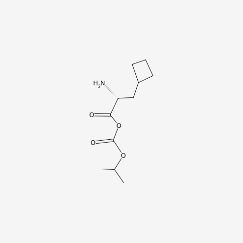 CC(C)OC(=O)OC(=O)[C@H](N)CC1CCC1